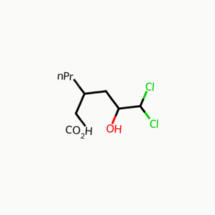 CCCC(CC(=O)O)CC(O)C(Cl)Cl